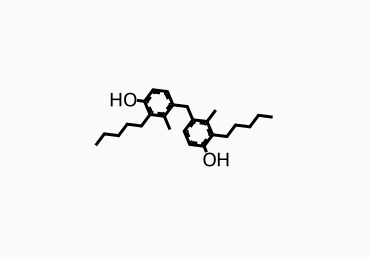 CCCCCc1c(O)ccc(Cc2ccc(O)c(CCCCC)c2C)c1C